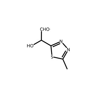 Cc1nnc(C(O)[C]=O)s1